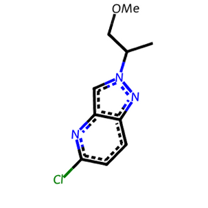 COCC(C)n1cc2nc(Cl)ccc2n1